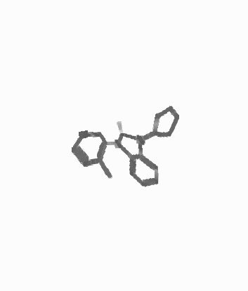 Cc1ccncc1N1c2ccccc2N(C2CCCC2)[C@H]1C